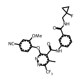 COc1cc(C#N)ccc1Oc1nnc(C(F)(F)F)c(C)c1C(=O)Nc1cccc(C(=O)NCC2(F)CC2)c1